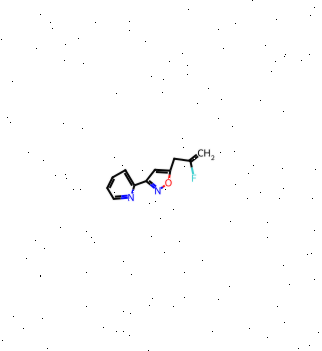 C=C(F)Cc1cc(-c2ccccn2)no1